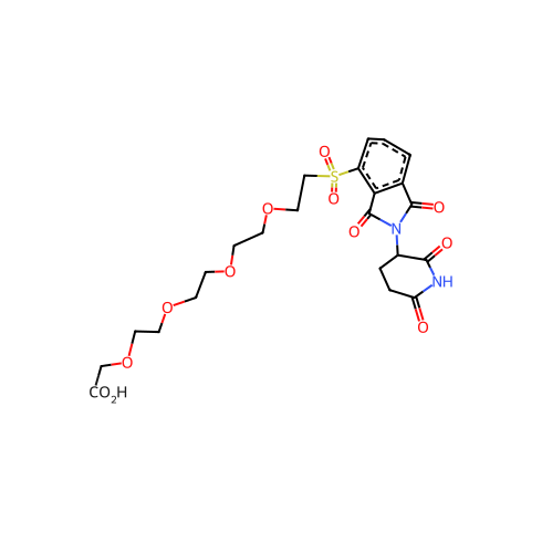 O=C(O)COCCOCCOCCOCCS(=O)(=O)c1cccc2c1C(=O)N(C1CCC(=O)NC1=O)C2=O